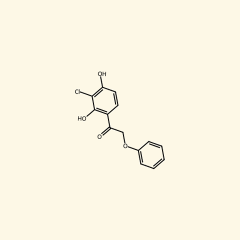 O=C(COc1ccccc1)c1ccc(O)c(Cl)c1O